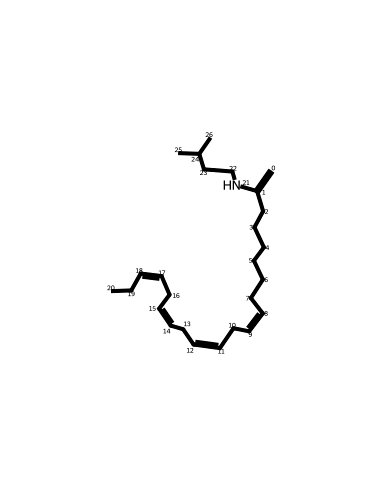 C=C(CCCCCC/C=C\C/C=C\C/C=C\C/C=C\CC)NCCC(C)C